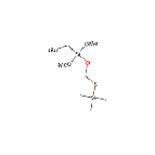 CO[Si](CC(C)(C)C)(OC)OCS[Si](C)(C)C